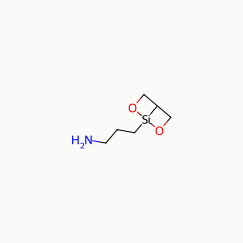 NCCC[Si]12OCC1CO2